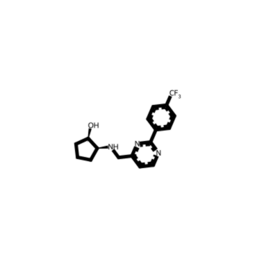 O[C@@H]1CCC[C@@H]1NCc1ccnc(-c2ccc(C(F)(F)F)cc2)n1